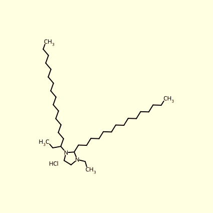 CCCCCCCCCCCCCCCC(CC)N1CCN(CC)C1CCCCCCCCCCCCCCC.Cl